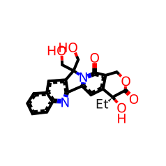 CC[C@@]1(O)C(=O)OCc2c1cc1n(c2=O)C(CO)(CO)c2cc3ccccc3nc2-1